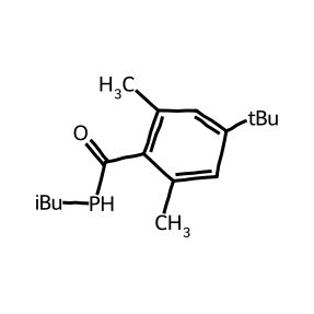 CCC(C)PC(=O)c1c(C)cc(C(C)(C)C)cc1C